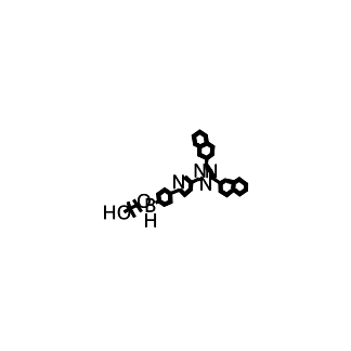 CC(C)(O)C(C)(C)OBc1ccc(-c2ccc(-c3nc(-c4ccc5ccccc5c4)nc(-c4ccc5ccccc5c4)n3)cn2)cc1